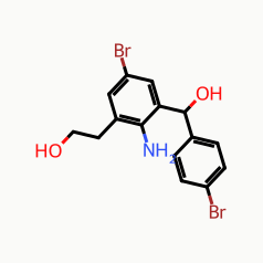 Nc1c(CCO)cc(Br)cc1C(O)c1ccc(Br)cc1